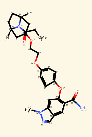 COCC(=O)N1[C@@H]2CC[C@H]1CC(OCCOc1ccc(Oc3cc4c(cnn4C)cc3C(N)=O)cc1)C2